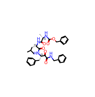 CC(C)C[C@H](NC(=O)[C@H](C)NC(=O)OCc1ccccc1)C(=O)N[C@@H](Cc1ccccc1)C(=O)C(=O)NCc1ccccc1